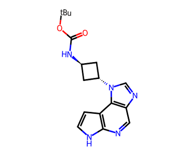 CC(C)(C)OC(=O)N[C@H]1C[C@H](n2cnc3cnc4[nH]ccc4c32)C1